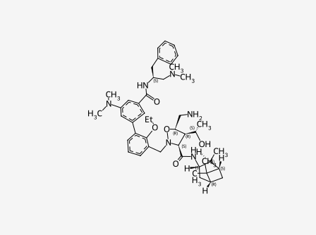 CCOc1c(CN2O[C@@H](CN)[C@@H]([C@H](C)O)[C@H]2C(=O)N[C@H]2C[C@H]3C[C@@H]([C@@H]2C)C3(C)C)cccc1-c1cc(C(=O)N[C@@H](Cc2ccccc2)CN(C)C)cc(N(C)C)c1